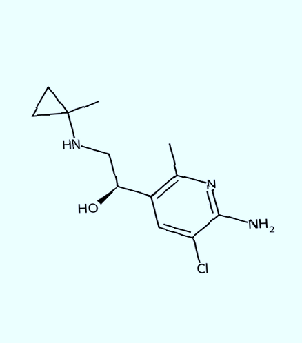 Cc1nc(N)c(Cl)cc1[C@@H](O)CNC1(C)CC1